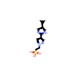 O=S(=O)([O-])CC[n+]1ccc(-c2ncc(C3CC3)cn2)cn1